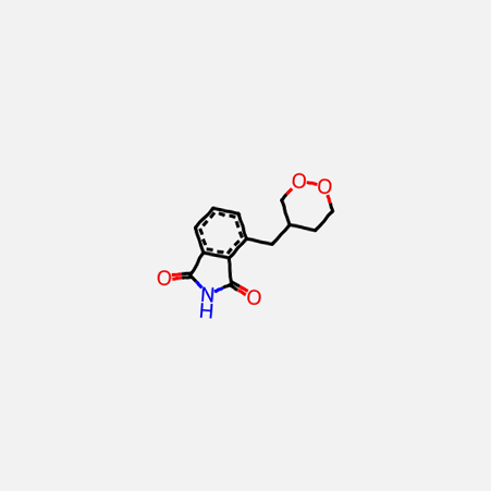 O=C1NC(=O)c2c(CC3CCOOC3)cccc21